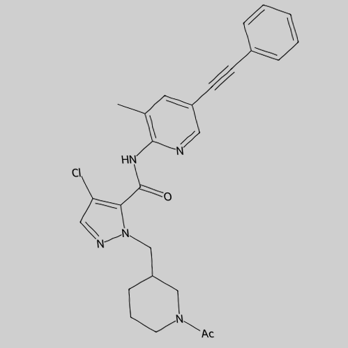 CC(=O)N1CCCC(Cn2ncc(Cl)c2C(=O)Nc2ncc(C#Cc3ccccc3)cc2C)C1